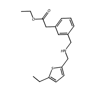 CCOC(=O)Cc1cccc(CNCc2ccc(CC)s2)c1